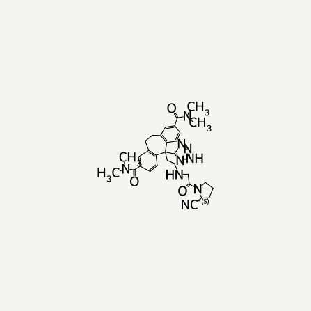 CN(C)C(=O)c1ccc2c(c1)CCc1cc(C(=O)N(C)C)ccc1C2(CCNCC(=O)N1CCC[C@H]1C#N)c1nn[nH]n1